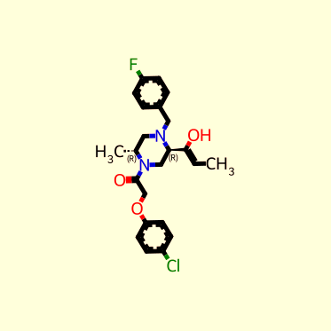 CC=C(O)[C@H]1CN(C(=O)COc2ccc(Cl)cc2)[C@H](C)CN1Cc1ccc(F)cc1